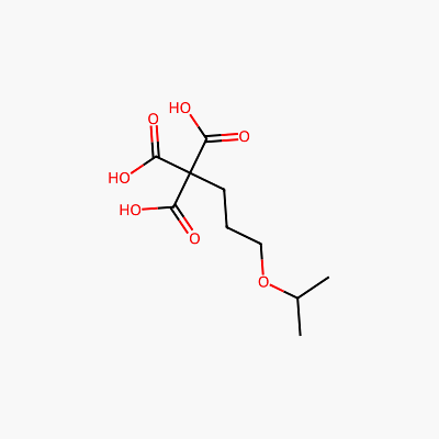 CC(C)OCCCC(C(=O)O)(C(=O)O)C(=O)O